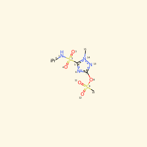 CC(C)NS(=O)(=O)c1nc(OS(C)(=O)=O)nn1C